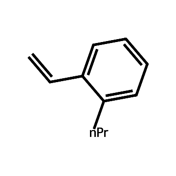 C=Cc1ccccc1C[CH]C